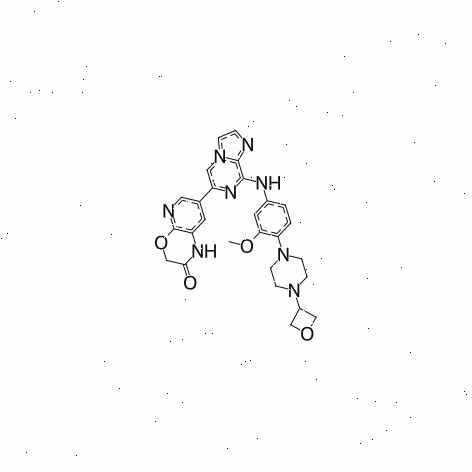 COc1cc(Nc2nc(-c3cnc4c(c3)NC(=O)CO4)cn3ccnc23)ccc1N1CCN(C2COC2)CC1